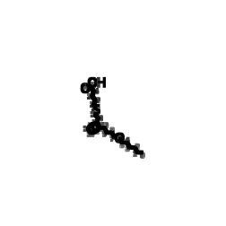 CCCCCCOCCCCC1C2CCC(O2)C1CCSCCCCC(=O)O